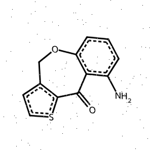 Nc1cccc2c1C(=O)c1sccc1CO2